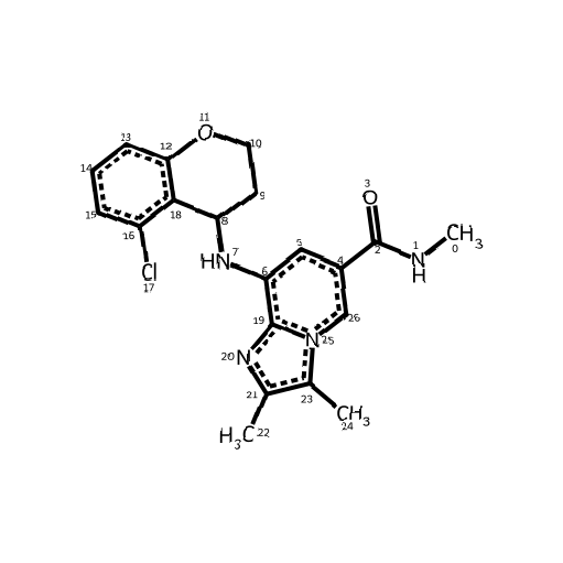 CNC(=O)c1cc(NC2CCOc3cccc(Cl)c32)c2nc(C)c(C)n2c1